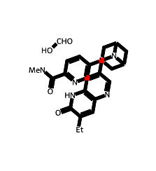 CCc1cc2ncc(CN3C4CC3CN(c3ccc(C(=O)NC)nc3)C4)cc2[nH]c1=O.O=CO